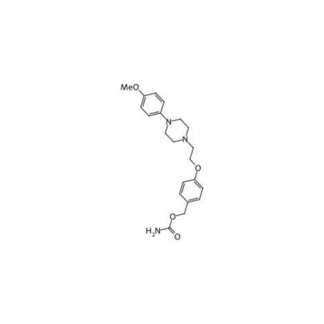 COc1ccc(N2CCN(CCOc3ccc(COC(N)=O)cc3)CC2)cc1